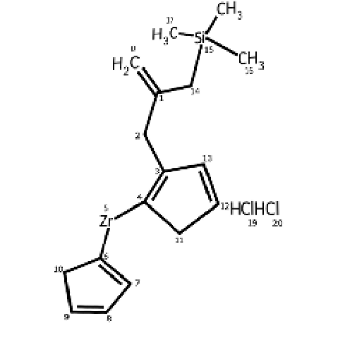 C=C(CC1=[C]([Zr][C]2=CC=CC2)CC=C1)C[Si](C)(C)C.Cl.Cl